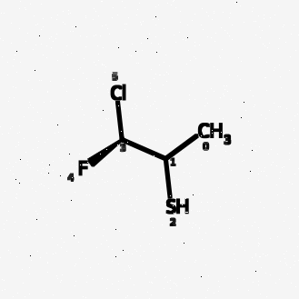 CC(S)[C@@H](F)Cl